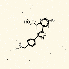 CC(C)NCc1ccc(-c2cc(-c3nc(Br)cnc3NC(=O)O)on2)cc1